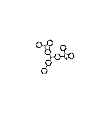 c1ccc(-c2ccc(N(c3ccc(-c4nc5ccccc5n4-c4ccccc4)cc3)c3ccc4c(c3)c3ccccc3n4-c3ccccc3)cc2)cc1